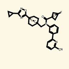 N#Cc1cccc(-c2cccc(N(CC34CCC(c5nc(C6CC6)no5)(CC3)CC4)C(=O)C34CC(F)(C3)C4)c2)n1